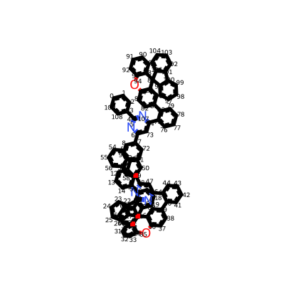 c1ccc(-c2nc(-c3ccc(-c4cccc(-c5cccc6c5-c5ccccc5C65c6ccccc6Oc6ccc(-c7ccccc7-c7cc(-c8ccc9ccccc9c8)nc(-c8ccccc8)n7)cc65)c4)cc3)cc(-c3ccccc3-c3ccc4c(c3)C3(c5ccccc5O4)c4ccccc4-c4ccccc43)n2)cc1